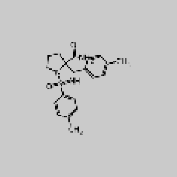 Cc1ccc(CC2(C(N)=O)CCCN2S(=N)(=O)c2ccc(C)cc2)cc1